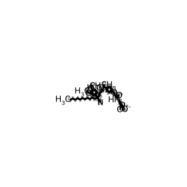 CCCCCCCCCCCCC(C#N)(CCCN(C)C(C)c1ccc(OCC(=O)NCCO[N+](=O)[O-])cc1)c1ccc(OC)c(OC)c1